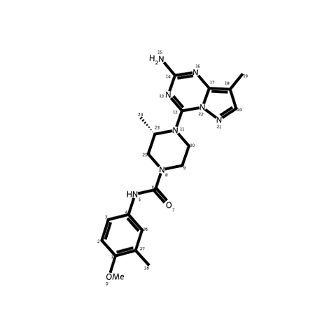 COc1ccc(NC(=O)N2CCN(c3nc(N)nc4c(C)cnn34)[C@@H](C)C2)cc1C